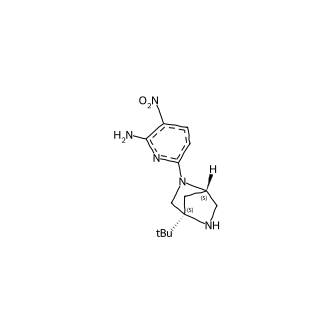 CC(C)(C)[C@]12C[C@@H](CN1)N(c1ccc([N+](=O)[O-])c(N)n1)C2